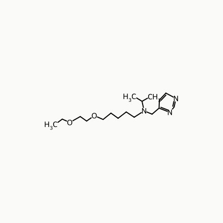 CCOCCOCCCCCN(Cc1ccncn1)C(C)C